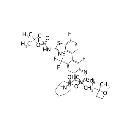 CC(C)(C)OC(=O)Nc1nc2c(-c3c(C(F)(F)F)cc4c(N5CC6CCC(C5)N6C(=O)OC(C)(C)C)nc(OCC5(C)CCO5)nc4c3F)ccc(F)c2s1